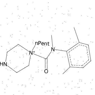 CCCCC[N+]1(C(=O)N(C)c2c(C)cccc2C)CCNCC1